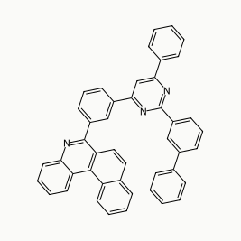 c1ccc(-c2cccc(-c3nc(-c4ccccc4)cc(-c4cccc(-c5nc6ccccc6c6c5ccc5ccccc56)c4)n3)c2)cc1